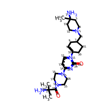 CC1(N)CCN(CC2CC=C(n3ccc(N4CCN(C(=O)C(C)(C)N)CC4)nc3=O)CC2)CC1